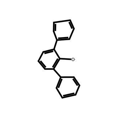 [O]c1c(-c2ccccc2)cccc1-c1ccccc1